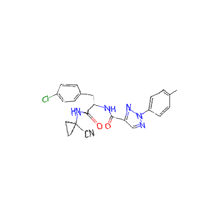 Cc1ccc(-n2ncc(C(=O)N[C@@H](Cc3ccc(Cl)cc3)C(=O)NC3(C#N)CC3)n2)cc1